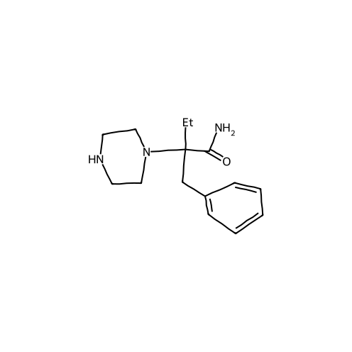 CCC(Cc1ccccc1)(C(N)=O)N1CCNCC1